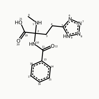 CNC(CCc1nnn[nH]1)(NC(=O)c1ccccc1)C(=O)O